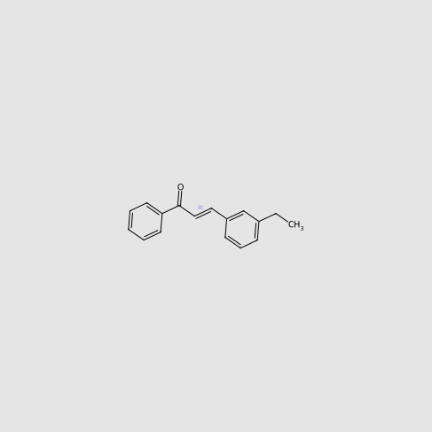 CCc1cccc(/C=C/C(=O)c2ccccc2)c1